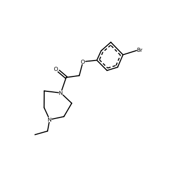 CCN1CCN(C(=O)COc2ccc(Br)cc2)CC1